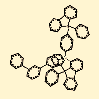 c1ccc(-c2cccc(-c3ccc(N(c4ccc(C5(c6ccccc6)c6ccccc6-c6ccccc65)cc4)c4cccc5c4C(c4ccccc4)(c4ccccc4)c4ccccc4-5)cc3)c2)cc1